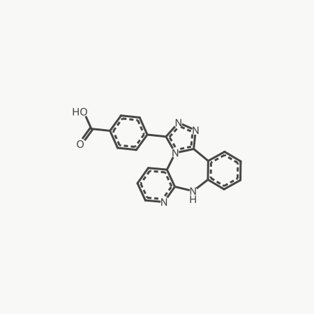 O=C(O)c1ccc(-c2nnc3n2-c2cccnc2Nc2ccccc2-3)cc1